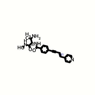 C[C@@H](N)[C@H](NC(=O)c1ccc(C#C/C=C/c2ccncc2)cc1)C(=O)NO